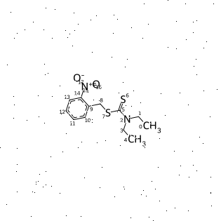 CCN(CC)C(=S)SCc1ccccc1[N+](=O)[O-]